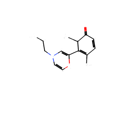 CC(C)C1C(=O)C=CC(C(C)(C)C)=C1C1=CN(CCC(=O)O)C=CO1